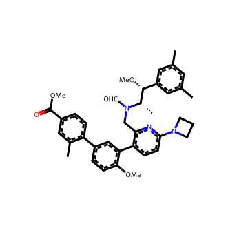 COC(=O)c1ccc(-c2ccc(OC)c(-c3ccc(N4CCC4)nc3CN(C=O)[C@@H](C)[C@H](OC)c3cc(C)cc(C)c3)c2)c(C)c1